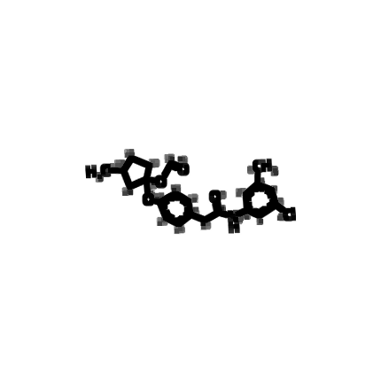 Cc1cc(Cl)cc(NC(=O)Cc2ccc(OC3(OC=O)CCC(C)C3)cc2)c1